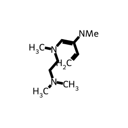 C=C/C(=C\N(C)CCN(C)C)NC